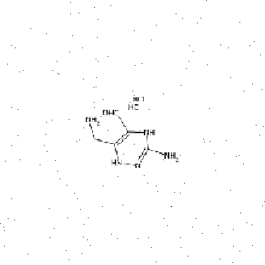 Cl.Cl.NCC1=C(C=O)NC(N)=NN1